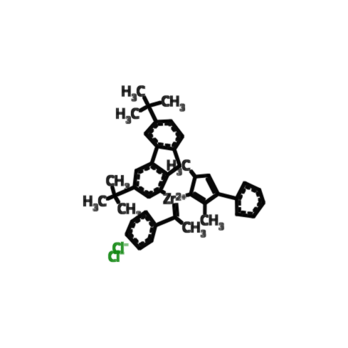 CC1=[C](/[Zr+2](=[C](\C)c2ccccc2)[c]2cc(C(C)(C)C)cc3c2Cc2ccc(C(C)(C)C)cc2-3)C(C)C=C1c1ccccc1.[Cl-].[Cl-]